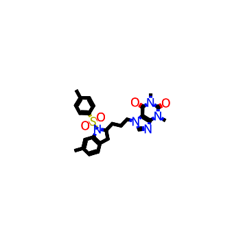 Cc1ccc(S(=O)(=O)N2c3cc(C)ccc3CC2CCCn2cnc3c2c(=O)n(C)c(=O)n3C)cc1